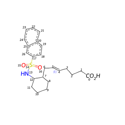 O=C(O)CCC/C=C/CC1CCCCC1NS(=O)(=O)c1ccc2ccccc2c1